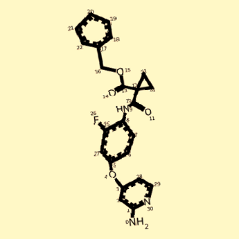 Nc1cc(Oc2ccc(NC(=O)C3(C(=O)OCc4ccccc4)CC3)c(F)c2)ccn1